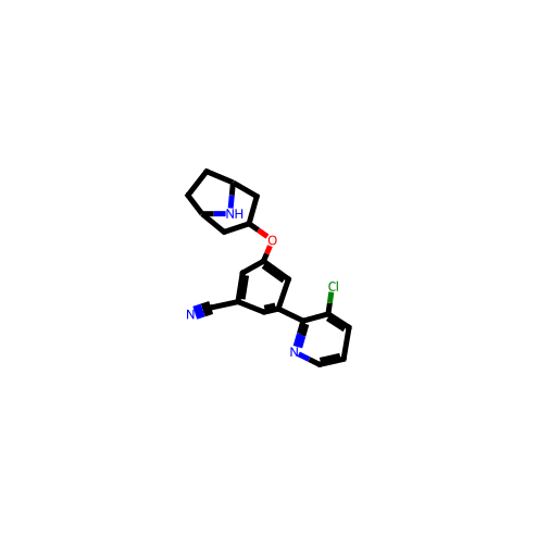 N#Cc1cc(OC2CC3CCC(C2)N3)cc(-c2ncccc2Cl)c1